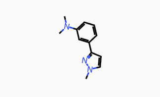 CN(C)c1cccc(-c2ccn(C)n2)c1